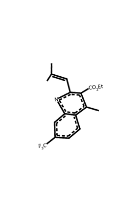 CCOC(=O)c1c(C=C(C)C)nc2cc(C(F)(F)F)ccc2c1C